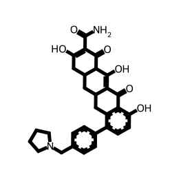 NC(=O)C1=C(O)CC2CC3Cc4c(-c5ccc(CN6CCCC6)cc5)ccc(O)c4C(=O)C3=C(O)C2C1=O